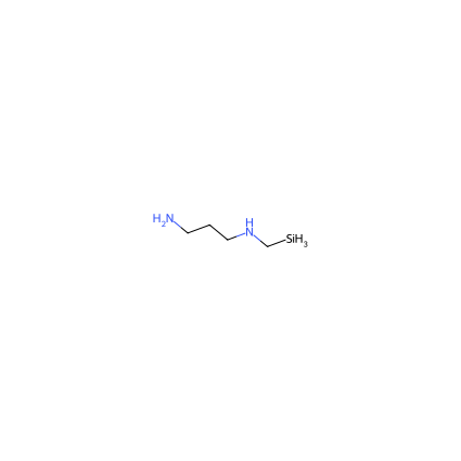 NCCCNC[SiH3]